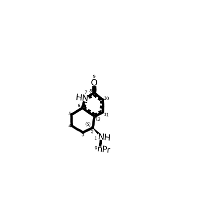 CCCN[C@H]1CCCc2[nH]c(=O)ccc21